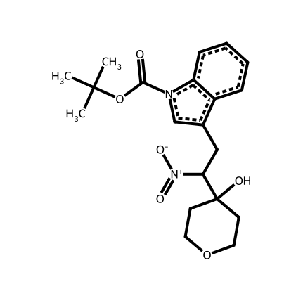 CC(C)(C)OC(=O)n1cc(CC([N+](=O)[O-])C2(O)CCOCC2)c2ccccc21